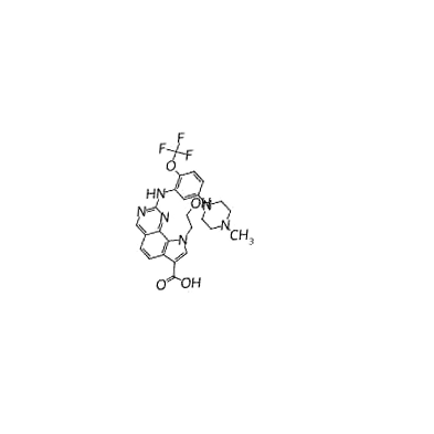 CN1CCN(c2ccc(OC(F)(F)F)c(Nc3ncc4ccc5c(C(=O)O)cn(CCO)c5c4n3)c2)CC1